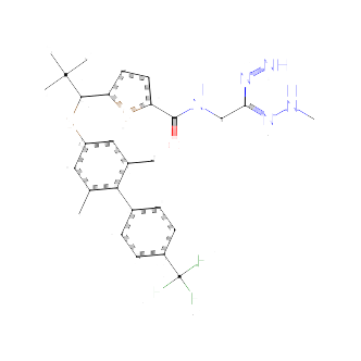 CN/N=C(/CNC(=O)c1ccc(C(Sc2cc(C)c(-c3ccc(C(F)(F)F)cc3)c(C)c2)C(C)(C)C)s1)N=N